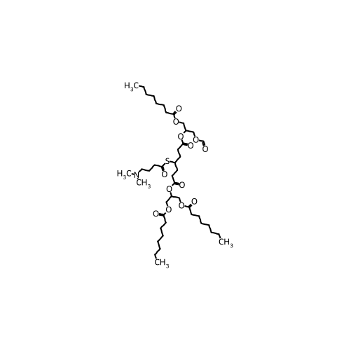 CCCCCCCC(=O)OCC(COC=O)OC(=O)CCC(CCC(=O)OC(COC(=O)CCCCCCC)COC(=O)CCCCCCC)SC(=O)CCCN(C)C